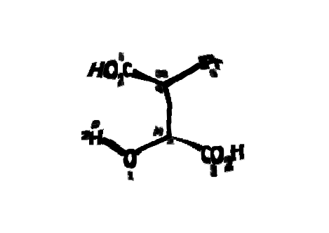 [2H]O[C@@H](C(=O)O)[C@@H](C(=O)O)C(C)C